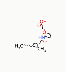 CCCCCc1ccc(/C=C/C(=O)Nc2ccccc2OCCCC(=O)O)c(C)c1